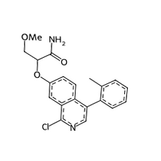 COCC(Oc1ccc2c(-c3ccccc3C)cnc(Cl)c2c1)C(N)=O